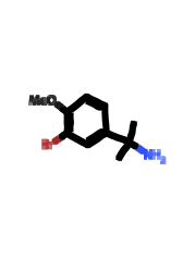 COc1ccc(C(C)(C)N)cc1Br